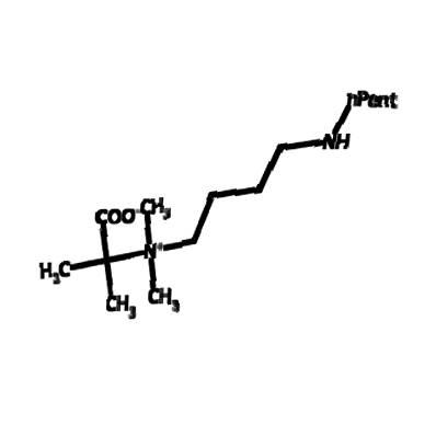 CCCCCNCCCC[N+](C)(C)C(C)(C)C(=O)[O-]